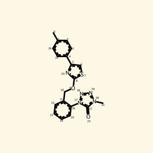 Cc1ccc(-c2csc(OCc3ccccc3-n3nnn(C)c3=O)n2)cc1